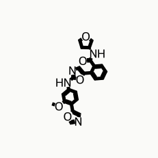 COc1cc(Nc2ncc(-c3ccccc3C(=O)N[C@H]3CCOC3)o2)ccc1-c1cnco1